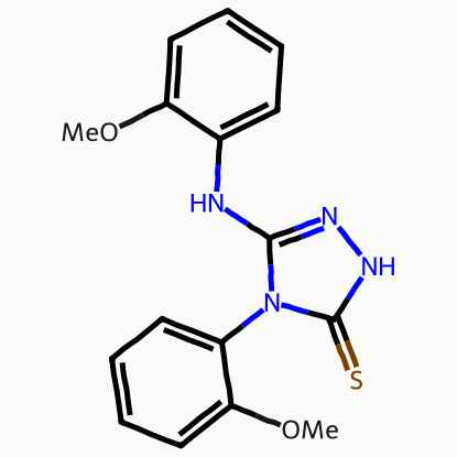 COc1ccccc1Nc1n[nH]c(=S)n1-c1ccccc1OC